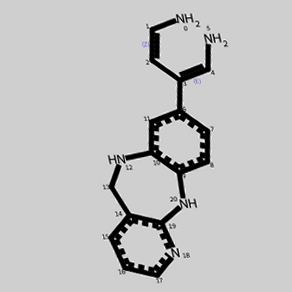 N/C=C\C(=C/N)c1ccc2c(c1)NCc1cccnc1N2